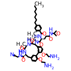 CCCCCCCCc1ccc(C(=O)N[C@@H](CCC(=O)NC2COC2)C(=O)N(C)[C@@H]2C(=O)N[C@@H](C)C(=O)N[C@H](C(=O)NCC#N)Cc3ccc(OCCN)c(c3)-c3cc2ccc3OCCN)c(C)c1